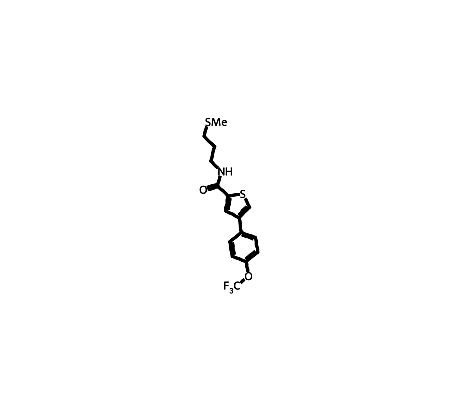 CSCCCNC(=O)c1cc(-c2ccc(OC(F)(F)F)cc2)cs1